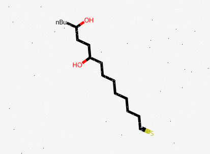 CCCCC(O)CCC(O)CCCCCCCC=S